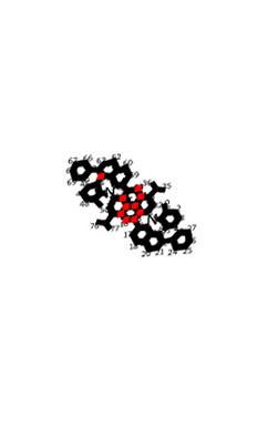 Cc1cccc(C)c1N(c1c(-c2ccccc2)ccc2ccc(-c3ccccc3)cc12)c1cc(C(C)C)c2ccc3c(N(c4c(C)cccc4C)c4c(-c5ccccc5)ccc5ccc(-c6ccccc6)cc45)cc(C(C)C)c4ccc1c2c43